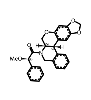 CO[C@@H](C(=O)N1Cc2ccccc2[C@H]2c3cc4c(cc3OC[C@H]21)OCO4)c1ccccc1